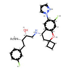 CC(=O)N[C@@H](Cc1cccc(F)c1)[C@H](O)CN[C@H]1CC2(CCC2)Oc2cc(F)c(-n3cccn3)cc21